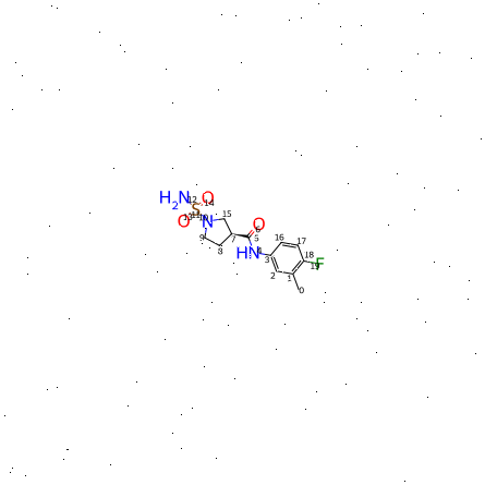 Cc1cc(NC(=O)[C@H]2CCN(S(N)(=O)=O)C2)ccc1F